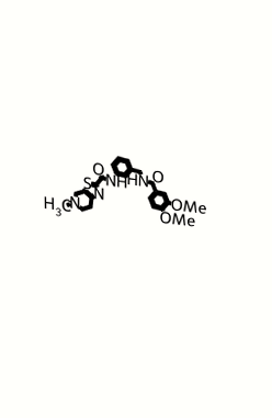 COc1ccc(C(=O)NCc2cccc(NC(=O)c3nc4c(s3)CN(C)CC4)c2)cc1OC